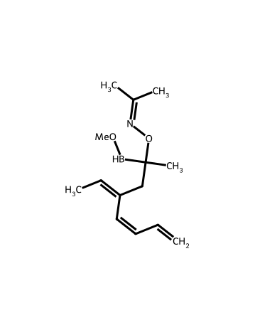 C=C/C=C\C(=C/C)CC(C)(BOC)ON=C(C)C